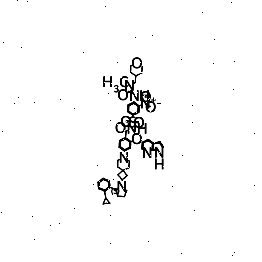 CN(CC1CCOCC1)C(=O)Nc1ccc(S(=O)(=O)NC(=O)c2ccc(N3CCC4(CC3)CC(N3CCC[C@H]3c3ccccc3C3CC3)C4)cc2Oc2cnc3[nH]ccc3c2)cc1[N+](=O)[O-]